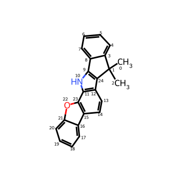 CC1(C)c2ccccc2-c2[nH]c3c(ccc4c5ccccc5oc43)c21